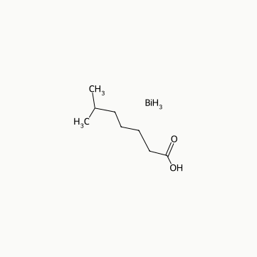 CC(C)CCCCC(=O)O.[BiH3]